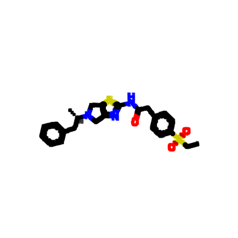 CCS(=O)(=O)c1ccc(CC(=O)Nc2nc3c(s2)CN([C@@H](C)Cc2ccccc2)C3)cc1